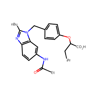 CCCCc1nc2ccc(NC(=O)CC)cc2n1Cc1ccc(OC(CC(C)C)C(=O)O)cc1